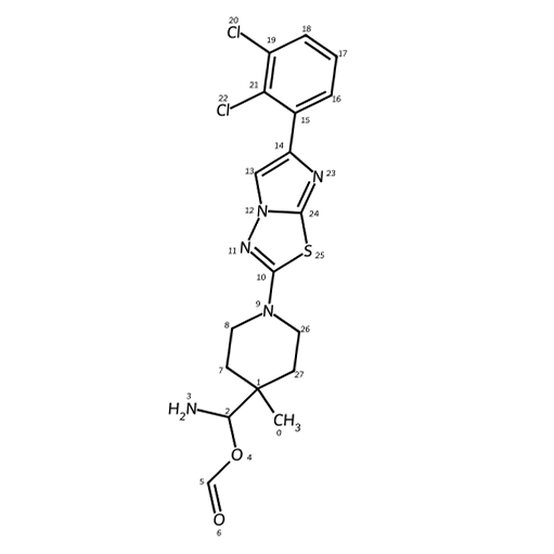 CC1(C(N)OC=O)CCN(c2nn3cc(-c4cccc(Cl)c4Cl)nc3s2)CC1